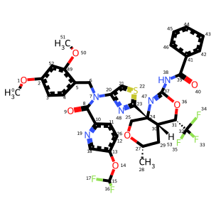 COc1ccc(CN(C(=O)c2ccc(OC(F)F)cn2)c2csc([C@]34CO[C@@H](C)C[C@H]3[C@@H](C(F)(F)F)OC(NC(=O)c3ccccc3)=N4)n2)c(OC)c1